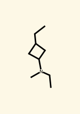 CCC1CC(N(C)CC)C1